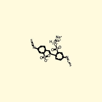 O.O=S(=O)([O-])c1cc(N=C=S)ccc1C=Cc1ccc(N=C=S)cc1S(=O)(=O)[O-].[Na+].[Na+]